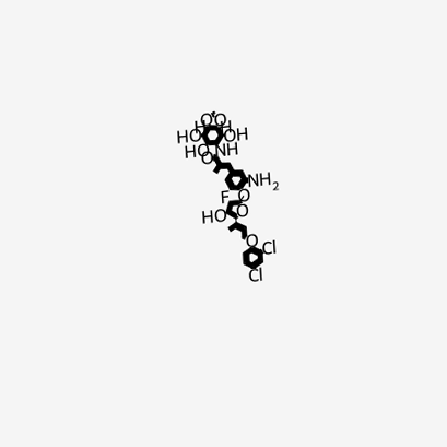 CC(=Cc1ccc(O[C@@H]2O[C@H](C(C)=CCOc3ccc(Cl)cc3Cl)[C@@H](O)[C@@H]2F)c(N)c1)C(=O)N[C@@H]1[C@H](O)[C@@H](O)[C@H]2OCO[C@H]2[C@@H]1O